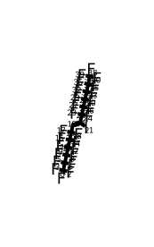 FC(F)(F)C(F)(F)C(F)(F)C(F)(F)C(F)(F)C(F)(F)C=C(I)C(F)(F)C(F)(F)C(F)(F)C(F)(F)C(F)(F)C(F)(F)F